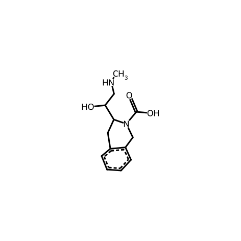 CNCC(O)C1Cc2ccccc2CN1C(=O)O